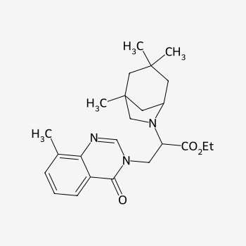 CCOC(=O)C(Cn1cnc2c(C)cccc2c1=O)N1CC2(C)CC1CC(C)(C)C2